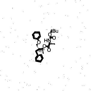 C[C@H](NC(=O)OC(C)(C)C)C(=O)O[C@@H](C)[C@@H](COc1ccccc1)Cc1ccccc1